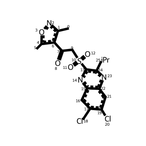 Cc1noc(C)c1C(=O)CS(=O)(=O)c1nc2cc(Cl)c(Cl)cc2nc1C(C)C